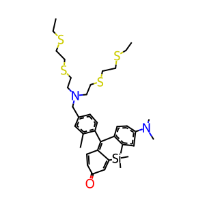 CCSCCSCCN(CCSCCSCC)Cc1ccc(C2=C3C=CC(=O)C=C3[Si](C)(C)c3cc(N(C)C)ccc32)c(C)c1